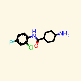 NC1CCC(C(=O)Nc2ccc(F)cc2Cl)CC1